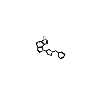 C1=CCC(CN2CCC(n3ccc4cnc5[nH]ccc5c43)C2)C=C1